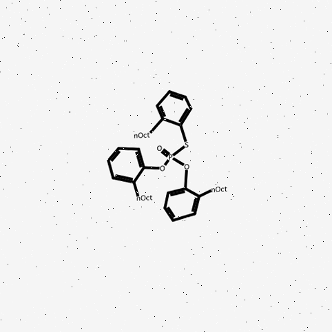 CCCCCCCCc1ccccc1OP(=O)(Oc1ccccc1CCCCCCCC)Sc1ccccc1CCCCCCCC